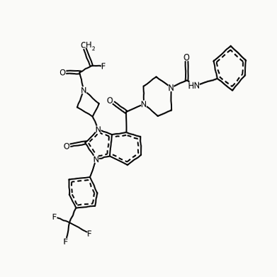 C=C(F)C(=O)N1CC(n2c(=O)n(-c3ccc(C(F)(F)F)cc3)c3cccc(C(=O)N4CCN(C(=O)Nc5ccccc5)CC4)c32)C1